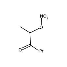 CC(C)C(=O)C(C)O[N+](=O)[O-]